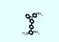 Nc1ccc(-n2c3ccccc3c3cc(-c4ccc(-c5cc(N)ccc5N)cc4)ccc32)cc1